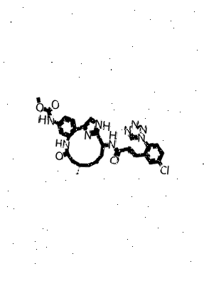 COC(=O)Nc1ccc2c(c1)NC(=O)C[C@@H](C)CCCC(NC(=O)/C=C/c1cc(Cl)ccc1-n1cnnn1)c1nc-2c[nH]1